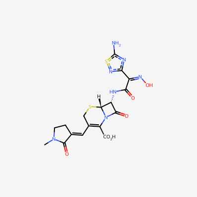 CN1CC/C(=C\C2=C(C(=O)O)N3C(=O)[C@@H](NC(=O)/C(=N\O)c4nsc(N)n4)[C@H]3SC2)C1=O